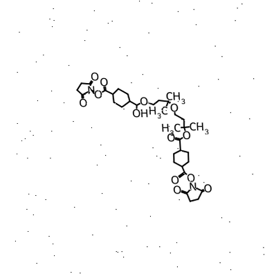 CC(C)(CCOC(O)C1CCC(C(=O)ON2C(=O)CCC2=O)CC1)OCCC(C)(C)OC(=O)C1CCC(C(=O)ON2C(=O)CCC2=O)CC1